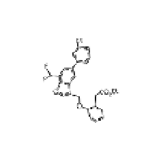 CCOC(=O)Cc1ccccc1OCc1coc2c(C(F)F)cc(-c3cccc(CC)c3)cc12